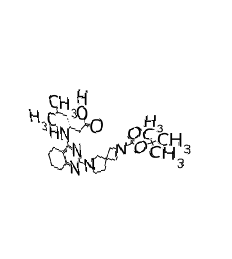 CC(C)C[C@H](CC(=O)O)Nc1nc(N2CCC3(CN(C(=O)OC(C)(C)C)C3)C2)nc2c1CCCC2